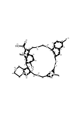 Cn1nc2cc1CSc1cc(c3ccc(F)cc3c1)OCCCc1c(C(=O)O)n(C)c3c(c(Cl)ccc13)-c1c(nn3c1COCC3)CSC2